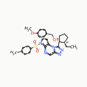 CC[C@@H]1CCC[C@]1(OCc1ccc(OC)cc1)c1nnc2cnc3c(ccn3S(=O)(=O)c3ccc(C)cc3)n12